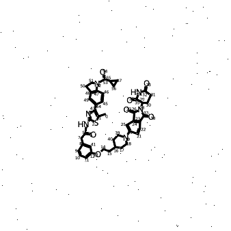 Cc1sc(NC(=O)Cc2cccc(OCCC3CCN(c4ccc5c(c4)C(=O)N(C4CCC(=O)NC4=O)C5=O)CC3)c2)nc1-c1ccc2c(c1)CCN2C(=O)C1CC1